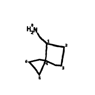 NC1CCC12CC2